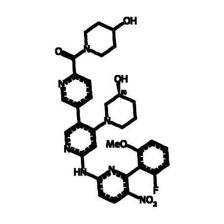 COc1cccc(F)c1-c1nc(Nc2cc(N3CCC[C@H](O)C3)c(-c3ccc(C(=O)N4CCC(O)CC4)nc3)cn2)ccc1[N+](=O)[O-]